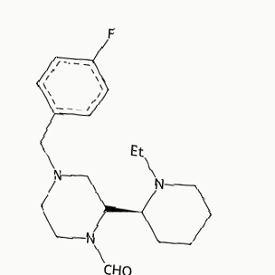 CCN1CCCC[C@H]1C1CN(Cc2ccc(F)cc2)CCN1C=O